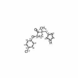 CC(C)(Cc1nc[nH]n1)C(=O)COc1ccc(Cl)cc1